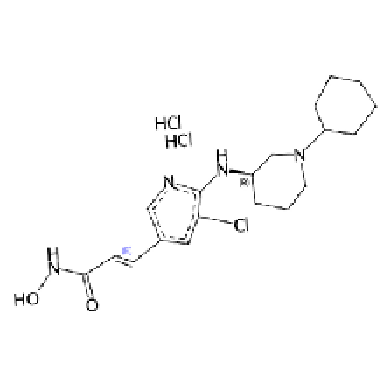 Cl.Cl.O=C(/C=C/c1cnc(N[C@@H]2CCCN(C3CCCCC3)C2)c(Cl)c1)NO